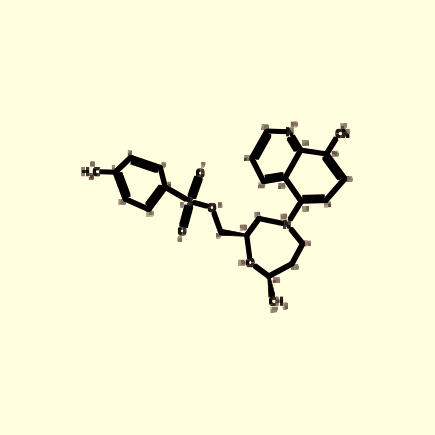 Cc1ccc(S(=O)(=O)OC[C@H]2CN(c3ccc(C#N)c4ncccc34)CC[C@@H](C)O2)cc1